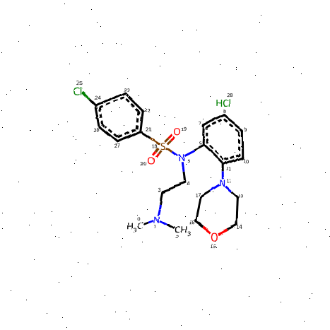 CN(C)CCN(c1ccccc1N1CCOCC1)S(=O)(=O)c1ccc(Cl)cc1.Cl